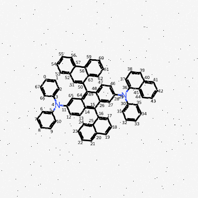 c1ccc(N(c2ccccc2)c2ccc3c(-c4cccc5ccccc45)c4cc(N(c5ccccc5)c5cccc6ccccc56)ccc4c(-c4cc5ccccc5c5ccccc45)c3c2)cc1